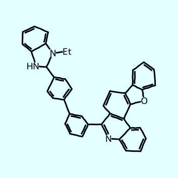 CCN1c2ccccc2NC1c1ccc(-c2cccc(-c3nc4ccccc4c4c3ccc3c5ccccc5oc34)c2)cc1